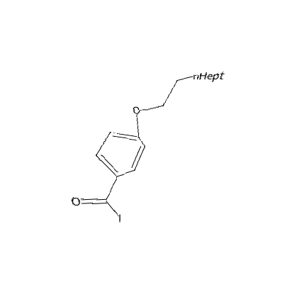 CCCCCCCCCOc1ccc(C(=O)I)cc1